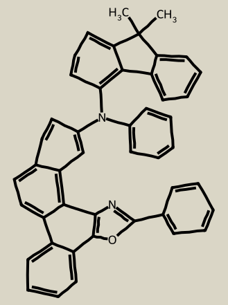 CC1(C)c2ccccc2-c2c(N(c3ccccc3)c3ccc4ccc5c6ccccc6c6oc(-c7ccccc7)nc6c5c4c3)cccc21